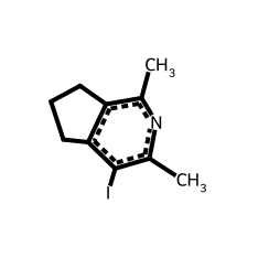 Cc1nc(C)c2c(c1I)CCC2